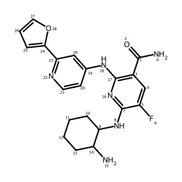 NC(=O)c1cc(F)c(NC2CCCCC2N)nc1Nc1ccnc(-c2ccco2)c1